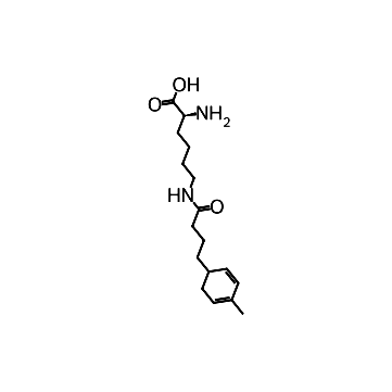 CC1=CCC(CCCC(=O)NCCCC[C@H](N)C(=O)O)C=C1